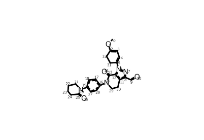 COC1=CC=C(n2nc(C=O)c3c2C(=O)N(c2ccc(N4CCCCC4=O)cc2)CC3)CC1